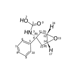 O=C(O)N[C@]1(c2ccccc2)C[C@@H]2O[C@@H]2C1